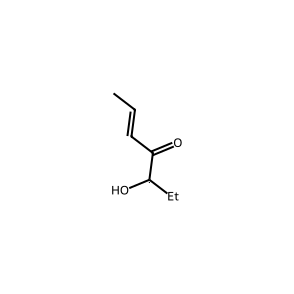 CC=CC(=O)[C](O)CC